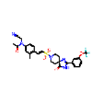 CC(=O)N(CC#N)c1ccc(C=CS(=O)(=O)N2CCC3(CC2)N=C(c2cccc(OC(F)(F)F)c2)NC3=O)c(C)c1